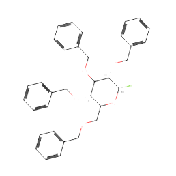 F[C@H]1OC(COCc2ccccc2)[C@H](OCc2ccccc2)C(OCc2ccccc2)[C@@H]1OCc1ccccc1